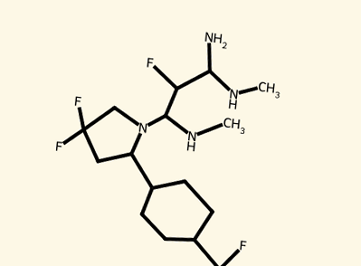 CNC(N)C(F)C(NC)N1CC(F)(F)CC1C1CCC(C(F)(F)F)CC1